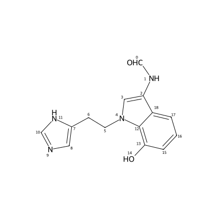 O=CNc1cn(CCc2cnc[nH]2)c2c(O)cccc12